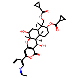 C=C/C(=C\N=C/C)c1cc2c(c(=O)o1)[C@H](O)[C@@H]1[C@@]3(C)CC[C@H](OC(=O)C4CC4)C(C)(COC(=O)C4CC4)[C@@H]3C[C@H](O)[C@@]1(C)O2